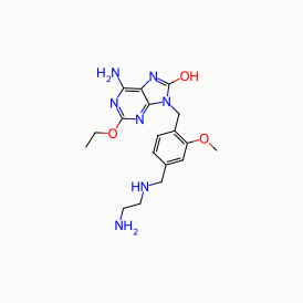 CCOc1nc(N)c2nc(O)n(Cc3ccc(CNCCN)cc3OC)c2n1